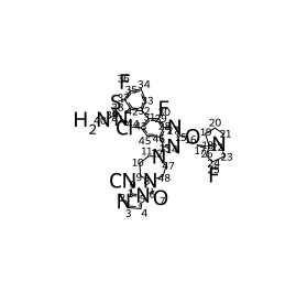 N#Cc1nccn1C(=O)N1CCCN(c2nc(OC[C@@]34CCCN3C[C@H](F)C4)nc3c(F)c(-c4ccc(F)c5sc(N)nc45)c(Cl)cc23)CC1